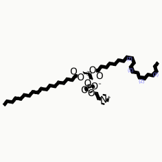 CC/C=C\C/C=C\C/C=C\C/C=C\CCCCCCC(=O)O[C@H](COC(=O)CCCCCCCCCCCCCCCCC)COP(=O)([O-])OCC[N+](C)(C)C